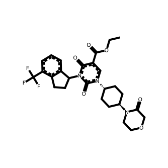 CCOC(=O)c1cn([C@H]2CC[C@H](N3CCOCC3=O)CC2)c(=O)n(C2CCc3c2cccc3C(F)(F)F)c1=O